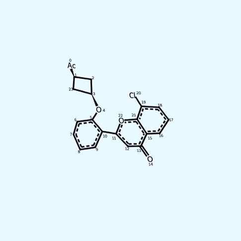 CC(=O)[C@H]1C[C@@H](Oc2ccccc2-c2cc(=O)c3cccc(Cl)c3o2)C1